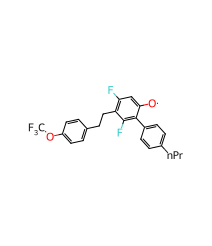 CCCc1ccc(-c2c([O])cc(F)c(CCc3ccc(OC(F)(F)F)cc3)c2F)cc1